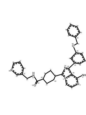 Nc1nccn2c(C3CCC(C(=O)NCc4cccnc4)CC3)nc(-c3cccc(OCc4ccccc4)c3)c12